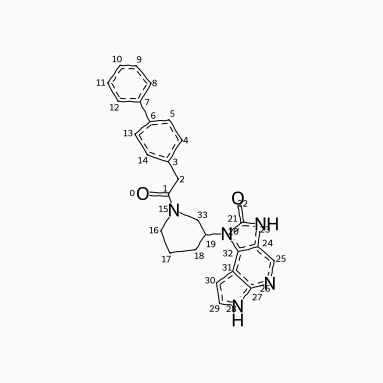 O=C(Cc1ccc(-c2ccccc2)cc1)N1CCCC(n2c(=O)[nH]c3cnc4[nH]ccc4c32)C1